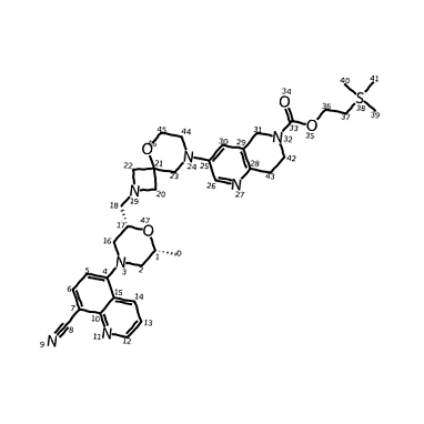 C[C@@H]1CN(c2ccc(C#N)c3ncccc23)C[C@H](CN2CC3(C2)CN(c2cnc4c(c2)CN(C(=O)OCCS(C)(C)C)CC4)CCO3)O1